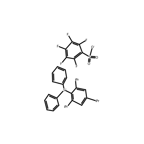 CC(C)c1cc(C(C)C)c([S+](c2ccccc2)c2ccccc2)c(C(C)C)c1.O=S(=O)([O-])c1c(F)c(F)c(F)c(F)c1F